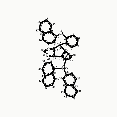 c1ccc2c(c1)Oc1c(ccc3ccccc13)[C@]21c2ccccc2-c2c(N(c3ccc4ccccc4c3)c3cccc4ccccc34)cccc21